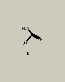 N=C(N)N.[B]